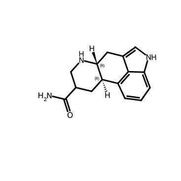 NC(=O)C1CN[C@@H]2Cc3c[nH]c4cccc(c34)[C@H]2C1